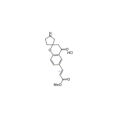 COC(=O)/C=C/c1ccc2c(c1)C(=O)CC1(CCNC1)O2.Cl